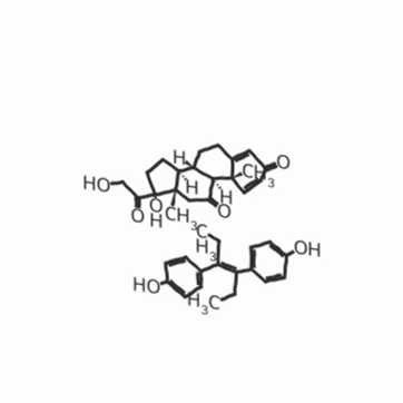 CC/C(=C(/CC)c1ccc(O)cc1)c1ccc(O)cc1.C[C@]12C=CC(=O)C=C1CC[C@@H]1[C@@H]2C(=O)C[C@@]2(C)[C@H]1CC[C@]2(O)C(=O)CO